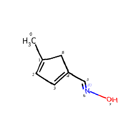 CC1=CC=C(/C=N/O)C1